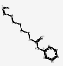 CCCCCCCCCCCCCCCCCC(=O)Oc1cc[c]cc1